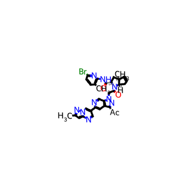 CC(=O)c1nn(CC(=O)N2[C@H](C(=O)Nc3nc(Br)ccc3C)C[C@@]3(C)C#CC[C@@H]23)c2cnc(-c3cnc4cc(C)nn4c3)cc12